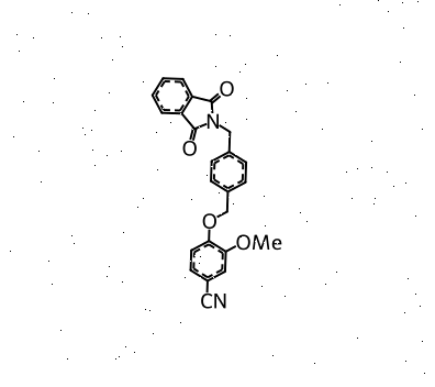 COc1cc(C#N)ccc1OCc1ccc(CN2C(=O)c3ccccc3C2=O)cc1